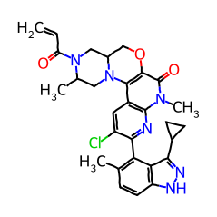 C=CC(=O)N1CC2COc3c(c4cc(Cl)c(-c5c(C)ccc6[nH]nc(C7CC7)c56)nc4n(C)c3=O)N2CC1C